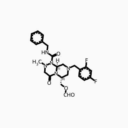 CN1CC(=O)N2[C@@H](COC=O)CN(Cc3ccc(F)cc3F)C[C@@H]2N1C(=O)NCc1ccccc1